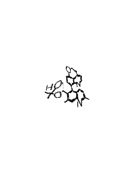 Cc1ccc2c(-c3ccc4c5c(ccnc35)CCO4)c([C@@H](CO)OC(C)(C)C)c(C)cc2n1